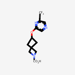 O=C(O)N1CC2(CC(Oc3cncc(C(F)(F)F)n3)C2)C1